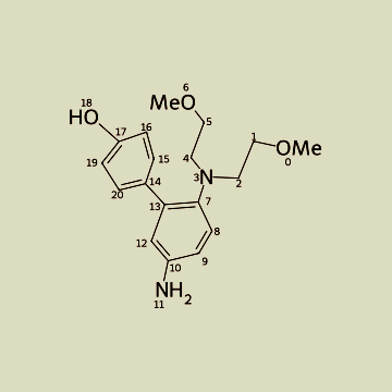 COCCN(CCOC)c1ccc(N)cc1-c1ccc(O)cc1